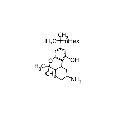 CCCCCCC(C)(C)c1cc(O)c2c(c1)OC(C)(C)C1CCC(N)CC21